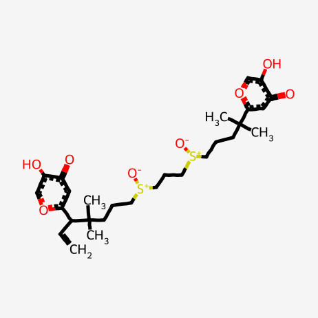 C=CC(c1cc(=O)c(O)co1)C(C)(C)CCC[S+]([O-])CCC[S+]([O-])CCCC(C)(C)c1cc(=O)c(O)co1